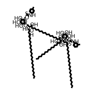 CCCCCCCCCCCCCCCCCCCCCCCCCCNC(CO[C@H]1O[C@H](COC(=S)Nc2ccc(C)cc2)[C@H](O)[C@H](O)[C@H]1O)C(O)C(O)CCCCCCCCCCCCCCC(O[C@H]1O[C@H](COC(=S)Nc2cccc(C)c2)[C@H](O)[C@H](O)[C@H]1O)[C@@H](NCCCCCCCCCCCCCCCCCCCCCCCCCC)[C@H](O)[C@H](O)CCCCCCCCCCCCCC